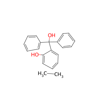 CC.Oc1ccccc1C(O)(c1ccccc1)c1ccccc1